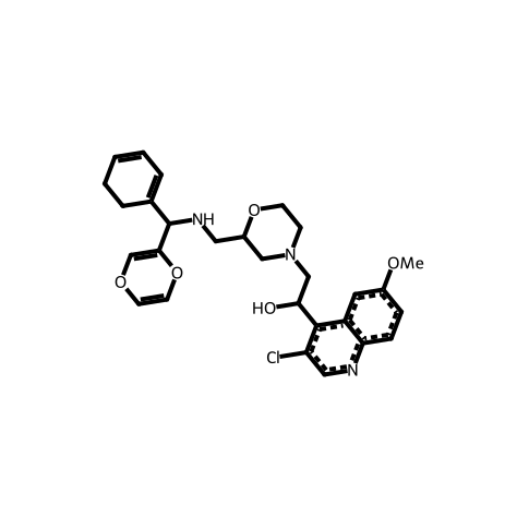 COc1ccc2ncc(Cl)c(C(O)CN3CCOC(CNC(C4=CC=CCC4)C4=COC=CO4)C3)c2c1